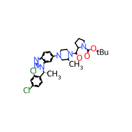 CC1CN(c2ccc3nnn([C@H](C)c4ccc(Cl)cc4Cl)c3c2)CCN1C(=O)C1CCCN1C(=O)OC(C)(C)C